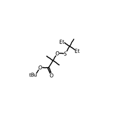 CCC(C)(CC)SOC(C)(C)C(=O)OC(C)(C)C